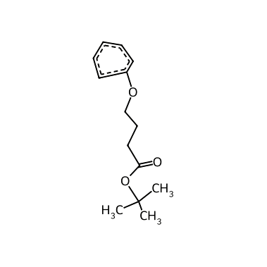 CC(C)(C)OC(=O)CCCOc1ccccc1